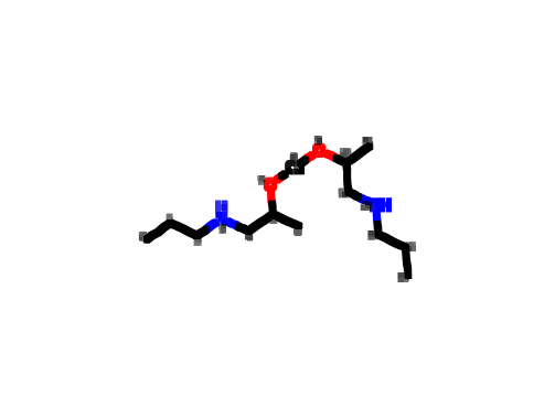 CCCNCC(C)[O][Cu][O]C(C)CNCCC